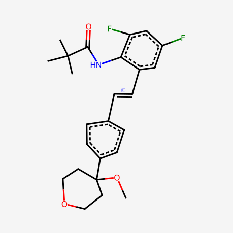 COC1(c2ccc(/C=C/c3cc(F)cc(F)c3NC(=O)C(C)(C)C)cc2)CCOCC1